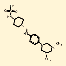 CC(C)S(=O)(=O)N[C@H]1CC[C@H](CNc2ccc(N3C[C@H](C)C[C@@H](C)C3)cc2)CC1